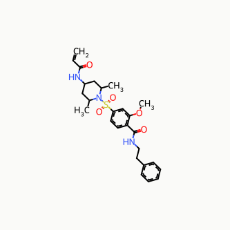 C=CC(=O)NC1CC(C)N(S(=O)(=O)c2ccc(C(=O)NCCc3ccccc3)c(OC)c2)C(C)C1